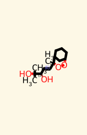 CC(C)(O)[C@@H](O)/C=C/[C@@]1(C)OOC2CCCC1C2